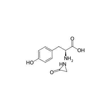 N[C@@H](Cc1ccc(O)cc1)C(=O)O.O=C1CN1